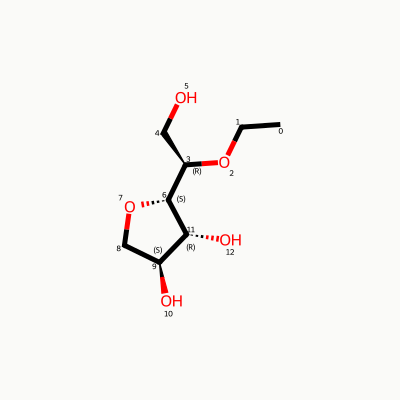 CCO[C@H](CO)[C@H]1OC[C@H](O)[C@H]1O